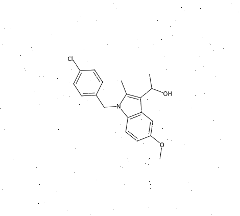 COc1ccc2c(c1)c(C(C)O)c(C)n2Cc1ccc(Cl)cc1